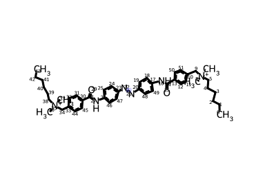 CCCCCC[N+](C)(C)Cc1ccc(C(=O)Nc2ccc(/N=N/c3ccc(NC(=O)c4ccc(C[N+](C)(C)CCCCCC)cc4)cc3)cc2)cc1